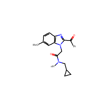 CCCN(CC1CC1)C(=O)Cn1c(C(=O)C(C)C)nc2ccc(OC)cc21